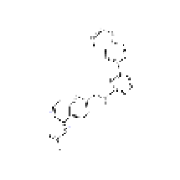 C=C(C)/C=C(\C=C/C)c1ccc(CNc2nccc(-c3ccc4ncncc4c3)n2)cc1